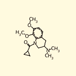 COc1ccc2c(c1OC)N(C(=O)C1CC1)CC(N(C)C)C2